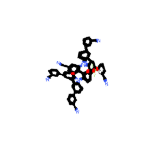 N#Cc1cccc(-c2ccc3c(c2)c2cc(-c4cccc(C#N)c4)ccc2n3-c2ccc(C(F)(F)F)cc2-c2ccc(C#N)cc2-n2c3ccc(-c4cccc(C#N)c4)cc3c3cc(-c4cccc(C#N)c4)ccc32)c1